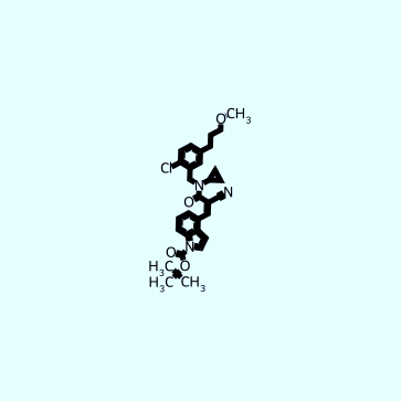 COCCCc1ccc(Cl)c(CN(C(=O)C(C#N)=Cc2cccc3c2ccn3C(=O)OC(C)(C)C)C2CC2)c1